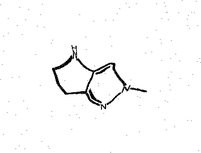 Cn1cc2c(n1)CCN2